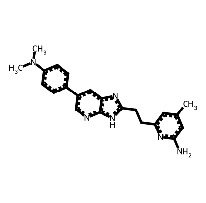 Cc1cc(N)nc(CCc2nc3cc(-c4ccc(N(C)C)cc4)cnc3[nH]2)c1